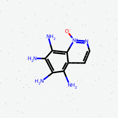 Nc1c(N)c(N)c2c(ccn[n+]2[O-])c1N